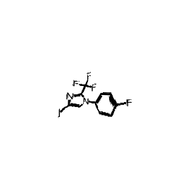 Fc1ccc(-n2cc(I)nc2C(F)(F)F)cc1